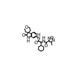 Cc1nonc1C(=O)N[C@H](C(=O)Nc1ccc2c(c1)NC(=O)C21CCOCC1)C1CCCCC1